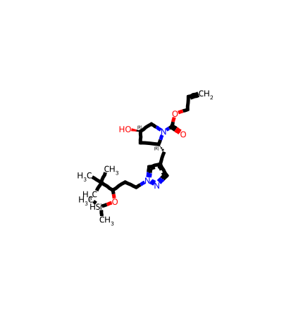 C=CCOC(=O)N1C[C@H](O)C[C@H]1Cc1cnn(CCC(O[SiH](C)C)C(C)(C)C)c1